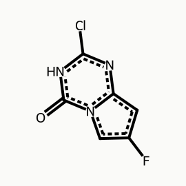 O=c1[nH]c(Cl)nc2cc(F)cn12